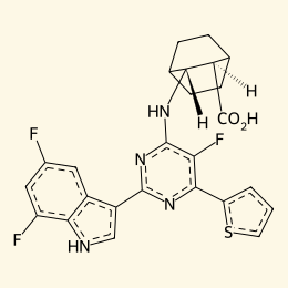 O=C(O)[C@@H]1C2CCC(CC2)[C@H]1Nc1nc(-c2c[nH]c3c(F)cc(F)cc23)nc(-c2cccs2)c1F